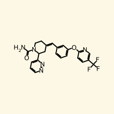 NC(=O)N1CCC(=Cc2cccc(Oc3ccc(C(F)(F)F)cn3)c2)CC1c1cccnn1